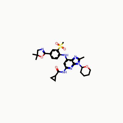 Cc1nc2c(Nc3ccc(C4=NCC(C)(C)O4)cc3S(C)(=O)=O)cc(NC(=O)C3CC3)nc2n1C1CCCCO1